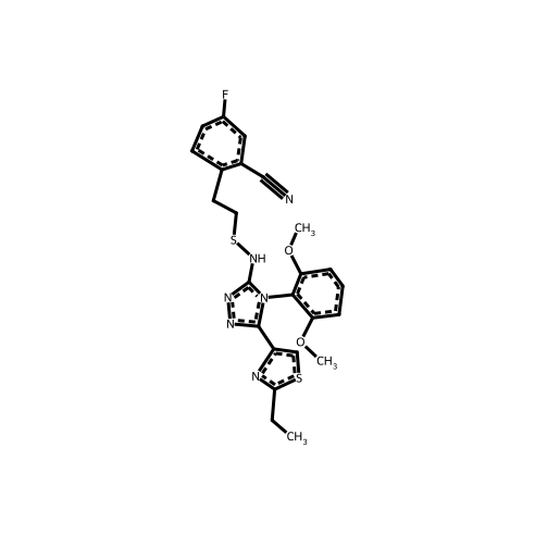 CCc1nc(-c2nnc(NSCCc3ccc(F)cc3C#N)n2-c2c(OC)cccc2OC)cs1